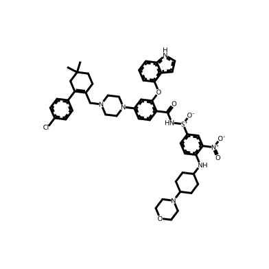 CC1(C)CCC(CN2CCN(c3ccc(C(=O)N[S+]([O-])c4ccc(NC5CCC(N6CCOCC6)CC5)c([N+](=O)[O-])c4)c(Oc4cccc5[nH]ccc45)c3)CC2)=C(c2ccc(Cl)cc2)C1